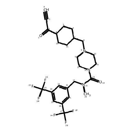 C#CC(=O)C1CCC(CN2CCN(C(=O)N(C)Cc3cc(C(F)(F)F)cc(C(F)(F)F)c3)CC2)CC1